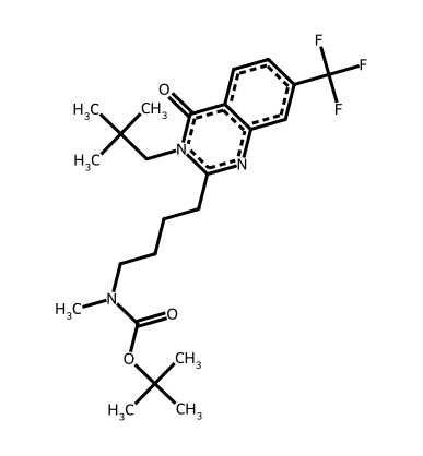 CN(CCCCc1nc2cc(C(F)(F)F)ccc2c(=O)n1CC(C)(C)C)C(=O)OC(C)(C)C